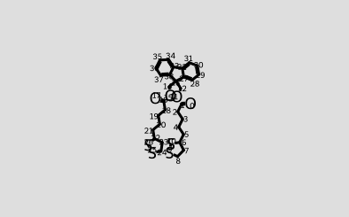 O=C(CCCCC1CCSS1)OCC1(COC(=O)CCCCC2CCSS2)c2ccccc2-c2ccccc21